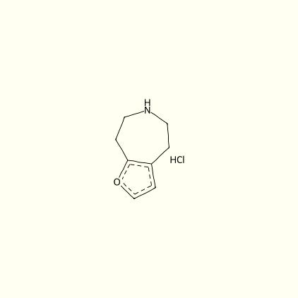 Cl.c1cc2c(o1)CCNCC2